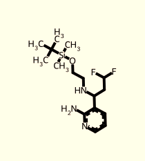 CC(C)(C)[Si](C)(C)OCCNC(CC(F)F)c1cccnc1N